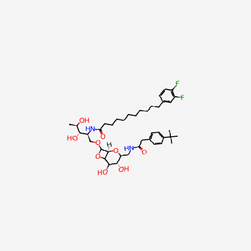 C[C@@H](O)[C@@H](O)[C@H](COC1OC2C(O)[C@@H](O)C(CNC(=O)Cc3ccc(C(C)(C)C)cc3)O[C@H]12)NC(=O)CCCCCCCCCCc1ccc(F)c(F)c1